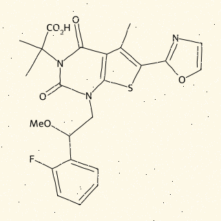 COC(Cn1c(=O)n(C(C)(C)C(=O)O)c(=O)c2c(C)c(-c3ncco3)sc21)c1ccccc1F